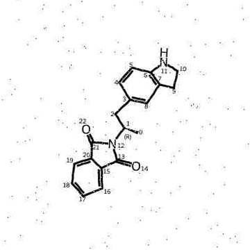 C[C@H](Cc1ccc2c(c1)CCN2)N1C(=O)c2ccccc2C1=O